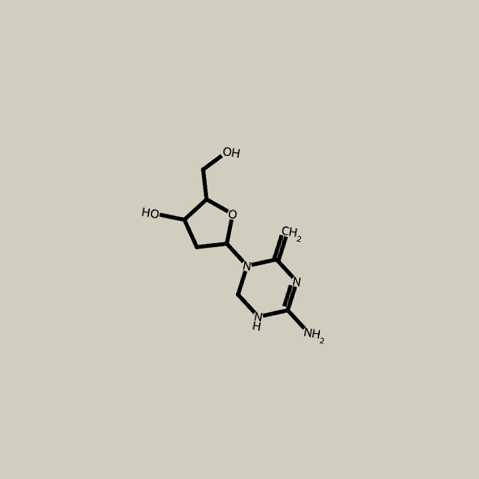 C=C1N=C(N)NCN1C1CC(O)C(CO)O1